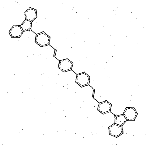 C(=Cc1ccc(-n2c3ccccc3c3ccccc32)cc1)c1ccc(-c2ccc(C=Cc3ccc(-n4c5ccccc5c5ccccc54)cc3)cc2)cc1